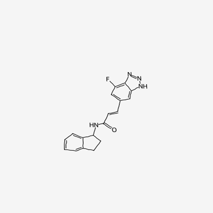 O=C(/C=C/c1cc(F)c2nn[nH]c2c1)NC1CCc2ccccc21